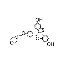 Oc1ccc(-c2sc3cc(O)ccc3c2C(O)c2ccc(OCCN3CCOCC3)cc2)cc1